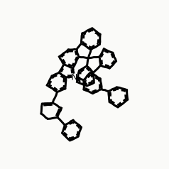 C1=C(c2ccc3c4ccc5c(c4n(-c4ccc(-c6ccccc6)cc4)c3c2)C2(c3ccccc3-c3ccccc32)c2ccccc2-5)C=C(c2ccccc2)CC1